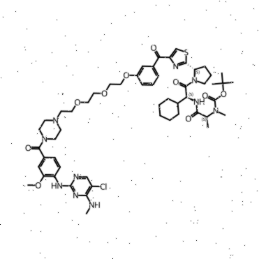 CNc1nc(Nc2ccc(C(=O)N3CCN(CCOCCOCCOc4cccc(C(=O)c5csc([C@@H]6CCCN6C(=O)[C@@H](NC(=O)[C@H](C)N(C)C(=O)OC(C)(C)C)C6CCCCC6)n5)c4)CC3)cc2OC)ncc1Cl